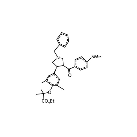 CCOC(=O)C(C)(C)Oc1c(C)cc([C@H]2CN(Cc3ccccc3)CC2C(=O)c2ccc(SC)cc2)cc1C